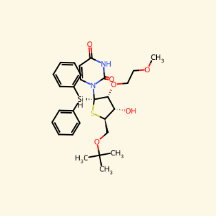 COCCO[C@@H]1[C@H](O)[C@@H](COC(C)(C)C)S[C@]1(n1ccc(=O)[nH]c1=O)[SiH](c1ccccc1)c1ccccc1